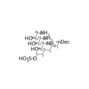 CCCCCCCCCCCCCCCCOS(=O)(=O)O.NCCO.NCCO.NCCO